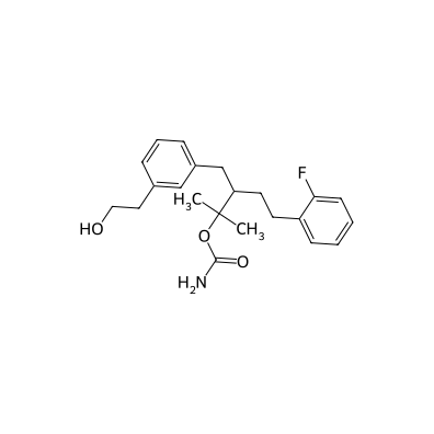 CC(C)(OC(N)=O)C(CCc1ccccc1F)Cc1cccc(CCO)c1